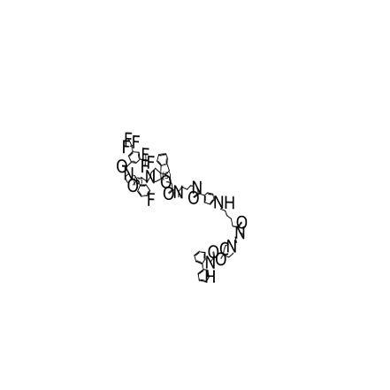 CN(CCN1CCC(OC(=O)Nc2ccccc2-c2ccccc2)CC1)C(=O)CCCCCNc1ccc(C(=O)N(C)CCCN(C)C(=O)CO[C@H]2Cc3ccccc3C23CCN(CC[C@]2(c4ccc(F)cc4)CN(C(=O)c4cc(C(F)(F)F)cc(C(F)(F)F)c4)CCO2)CC3)cc1